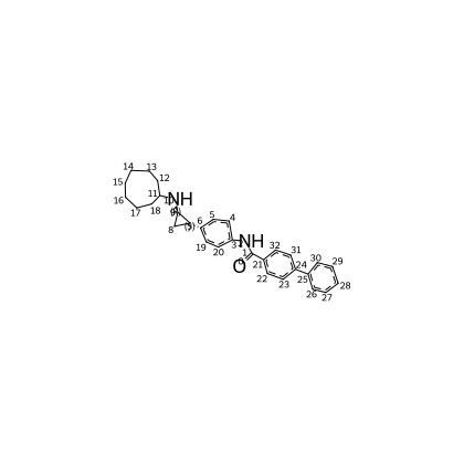 O=C(Nc1ccc([C@@H]2C[C@H]2NC2CCCCCCC2)cc1)c1ccc(-c2ccccc2)cc1